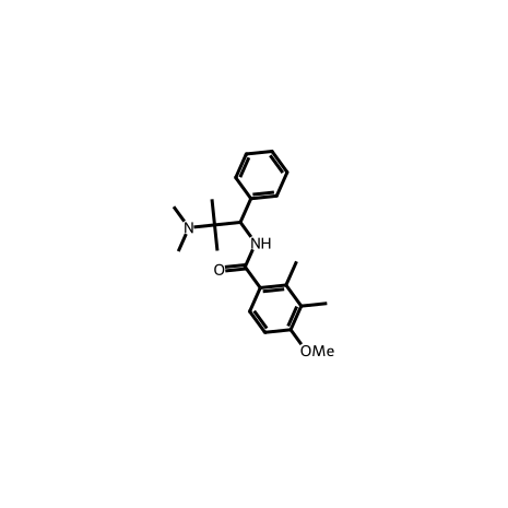 COc1ccc(C(=O)NC(c2ccccc2)C(C)(C)N(C)C)c(C)c1C